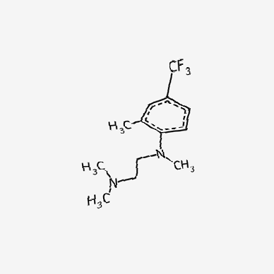 Cc1cc(C(F)(F)F)ccc1N(C)CCN(C)C